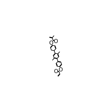 C=CC(=O)Oc1ccc(-c2cc(C)c(C3C=CC(OC(=O)C(=C)C)=CC3)cc2C)cc1